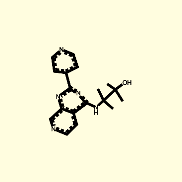 CC(C)(O)C(C)(C)Nc1nc(-c2ccncc2)nc2cnccc12